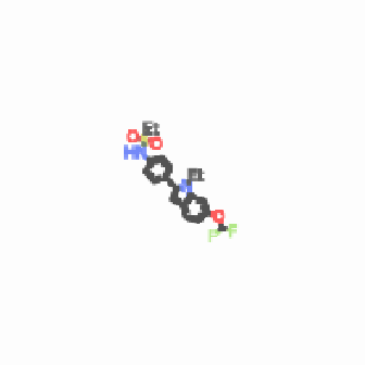 CCn1c(-c2ccc(NS(=O)(=O)CC)cc2)cc2ccc(OC(F)F)cc21